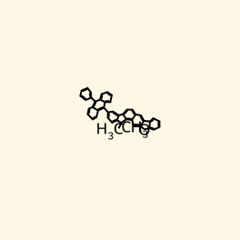 CC1(C)c2ccc(-c3c4ccccc4c(-c4ccccc4)c4ccccc34)cc2-c2ccc3cc4c(cc3c21)oc1ccccc14